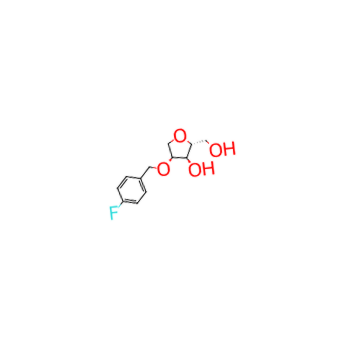 OC[C@H]1OC[C@H](OCc2ccc(F)cc2)[C@@H]1O